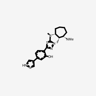 CN[C@H]1CCCC[C@@H](N(C)c2nnc(-c3ccc(-c4cn[nH]c4)cc3O)s2)[C@H]1F